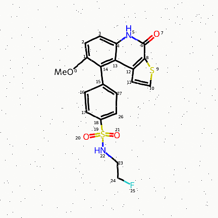 COc1ccc2[nH]c(=O)c3sccc3c2c1-c1ccc(S(=O)(=O)NCCF)cc1